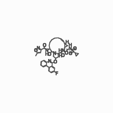 Cc1cc(C(=O)N[C@H]2CCCCC/C=C\[C@@H]3C[C@@]3(C(=O)NS(=O)(=O)C3CC3)NC(=O)[C@@H]3C[C@@H](Oc4nc5ccccc5c5ccc(F)cc45)CN3C2=O)no1